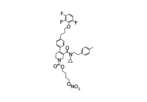 Cc1ccc(CCN(C(=O)C2=C(c3ccc(CCCOc4c(F)ccc(F)c4F)cc3)CCN(C(=O)OCCCCO[N+](=O)[O-])C2)C2CC2)cc1